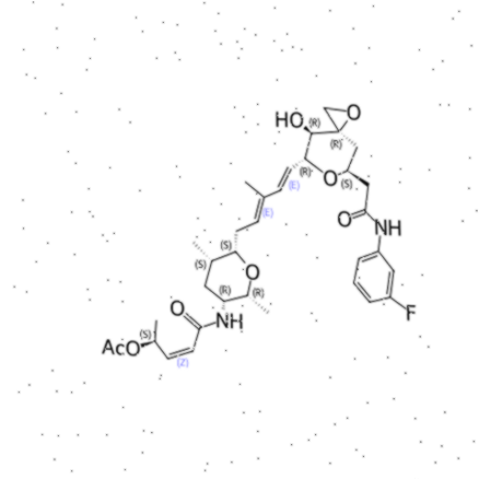 CC(=O)O[C@@H](C)/C=C\C(=O)N[C@@H]1C[C@H](C)[C@H](C/C=C(C)/C=C/[C@H]2O[C@H](CC(=O)Nc3cccc(F)c3)C[C@@]3(CO3)[C@@H]2O)O[C@@H]1C